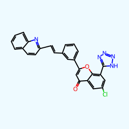 O=c1cc(-c2cccc(C=Cc3ccc4ccccc4n3)c2)oc2c(-c3nnn[nH]3)cc(Cl)cc12